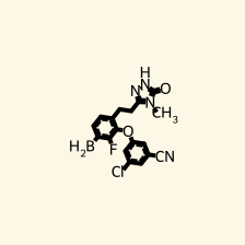 Bc1ccc(CCc2n[nH]c(=O)n2C)c(Oc2cc(Cl)cc(C#N)c2)c1F